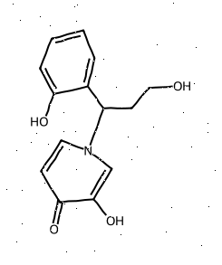 O=c1ccn(C(CCO)c2ccccc2O)cc1O